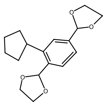 c1cc(C2OCCO2)c(C2CCCC2)cc1C1OCCO1